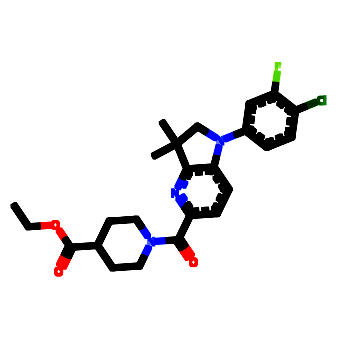 CCOC(=O)C1CCN(C(=O)c2ccc3c(n2)C(C)(C)CN3c2ccc(Cl)c(F)c2)CC1